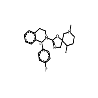 CN1CCC(F)C2(CN=C(N3CCc4ccccc4[C@@H]3c3ccc(F)cc3)O2)C1